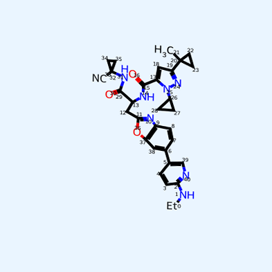 CCNc1ccc(-c2ccc3nc(CC(NC(=O)c4cc(C5(C)CC5)nn4C4CC4)C(=O)NC4(C#N)CC4)oc3c2)cn1